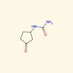 NC(=O)NC1CCC(=O)C1